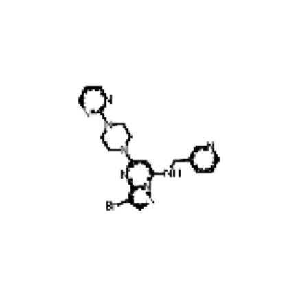 Brc1cnn2c(NCc3cccnc3)cc(N3CCN(c4ncccn4)CC3)nc12